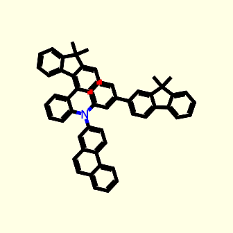 CC1(C)c2ccccc2-c2ccc(-c3cccc(N(c4ccc5c(ccc6ccccc65)c4)c4ccccc4-c4cccc5c4-c4ccccc4C5(C)C)c3)cc21